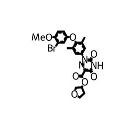 COc1ccc(Oc2c(C)cc(-n3nc(C(=O)OC4CCOC4)c(=O)[nH]c3=O)cc2C)cc1Br